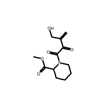 C=C(CO)C(=O)C(=O)N1CCCCC1C(=O)OC